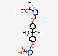 C=C(OCC)c1nccc(COc2ccc(C(C)(C)c3ccc(OC[C@H]4CCCN4C(=O)O)cc3)cc2)n1